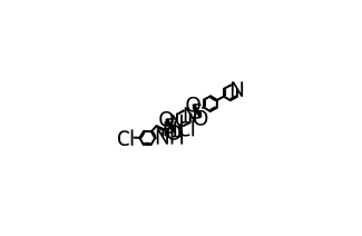 Cl.O=S(=O)(c1ccc(-c2ccncc2)cc1)N1CCN(S(=O)(=O)c2cc3cc(Cl)ccc3[nH]2)CC1